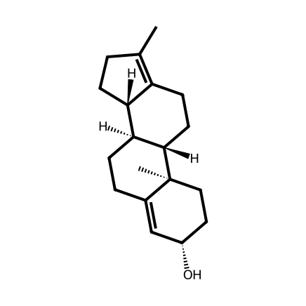 CC1=C2CC[C@H]3[C@@H](CCC4=C[C@@H](O)CC[C@@]43C)[C@@H]2CC1